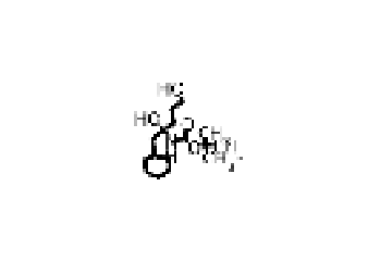 CC(C)(C)OC(=O)NC(O)([CH]CCO)CC1CCCCC1